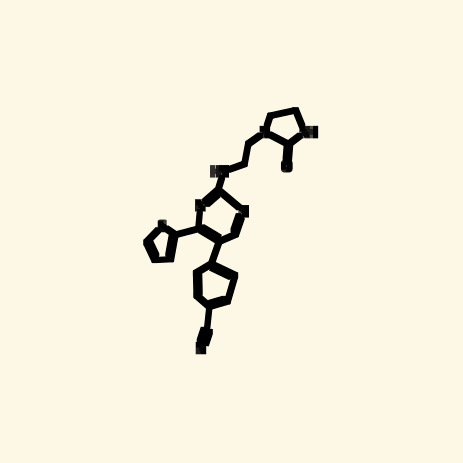 N#Cc1ccc(-c2cnc(NCCN3CCNC3=O)nc2-c2cccs2)cc1